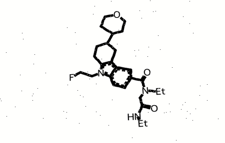 CCNC(=O)CN(CC)C(=O)c1ccc2c(c1)c1c(n2CCF)CCC(C2CCOCC2)C1